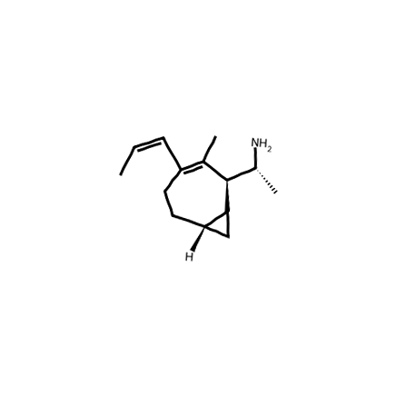 C/C=C\C1=C(C)[C@@H]([C@@H](C)N)C2C[C@@H]2CC1